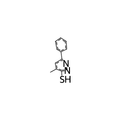 Cc1cc(-c2ccccc2)nnc1S